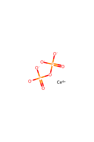 O=P([O-])([O-])OP(=O)([O-])[O-].[Ce+4]